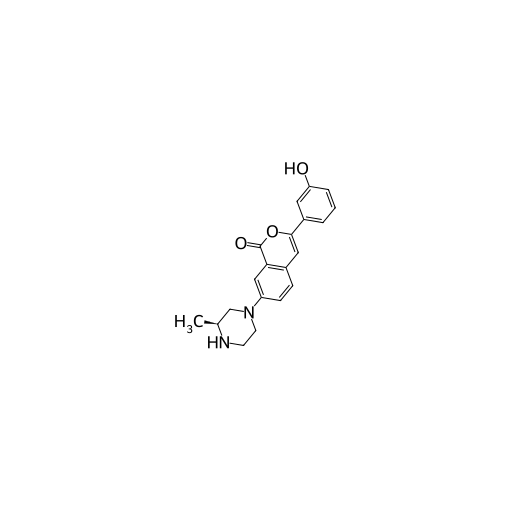 C[C@H]1CN(c2ccc3cc(-c4cccc(O)c4)oc(=O)c3c2)CCN1